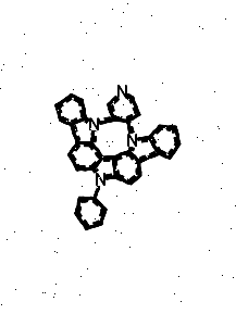 c1ccc(-n2c3ccc4c5ccccc5n5c6ccncc6n6c7ccccc7c7ccc2c(c3c45)c76)cc1